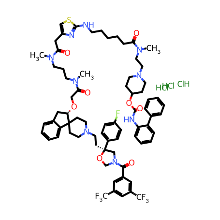 CN(CCN1CCC(OC(=O)Nc2ccccc2-c2ccccc2)CC1)C(=O)CCCCCNc1nc(CC(=O)N(C)CCCN(C)C(=O)CO[C@H]2Cc3ccccc3C23CCN(CC[C@]2(c4ccc(F)cc4)CN(C(=O)c4cc(C(F)(F)F)cc(C(F)(F)F)c4)CO2)CC3)cs1.Cl.Cl.Cl